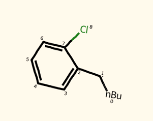 CCCC[CH]c1ccccc1Cl